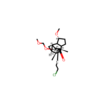 COCO[C@@H]1C[C@@](C)(CCCCl)C(=O)[C@H](C)C23CC[C@H]4C[C@]41C2[C@H](OC)CC3